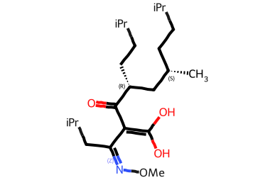 CO/N=C(/CC(C)C)C(C(=O)[C@H](CCC(C)C)C[C@@H](C)CCC(C)C)=C(O)O